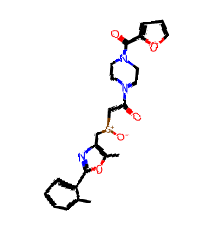 Cc1ccccc1-c1nc(C[S+]([O-])CC(=O)N2CCN(C(=O)c3ccco3)CC2)c(C)o1